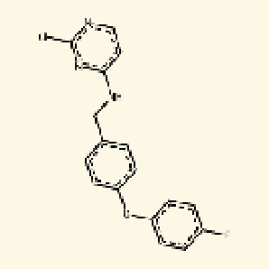 Fc1ccc(Oc2ccc(CNc3ccnc(Cl)n3)cc2)cc1